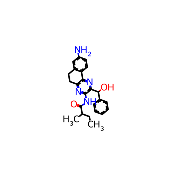 CCC(C)C(=O)Nc1nc2c(nc1C(O)c1ccccc1)-c1ccc(N)cc1CC2